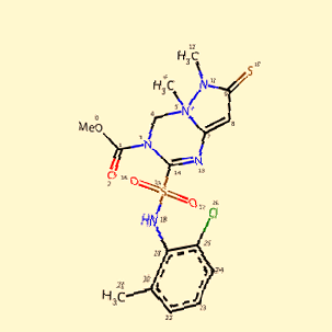 COC(=O)N1C[N+]2(C)C(=CC(=S)N2C)N=C1S(=O)(=O)Nc1c(C)cccc1Cl